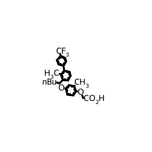 CCCCC(Oc1ccc(OCC(=O)O)c(C)c1)c1cccc(-c2ccc(C(F)(F)F)cc2)c1C